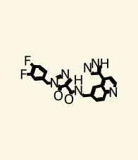 O=C(NCc1ccc2nccc(-c3cn[nH]c3)c2c1)c1cncn(Cc2ccc(F)c(F)c2)c1=O